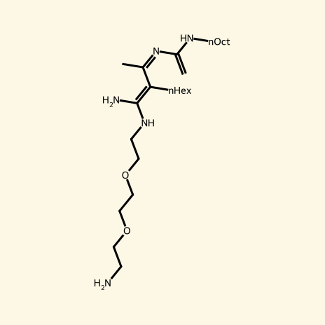 C=C(/N=C(C)\C(CCCCCC)=C(/N)NCCOCCOCCN)NCCCCCCCC